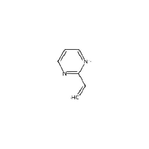 [CH]=CC1=NC=CC=[N+]1